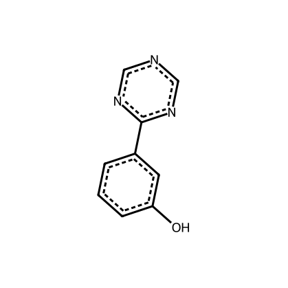 Oc1cccc(-c2ncncn2)c1